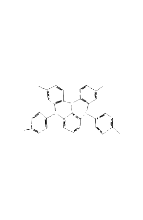 Cc1ccc(N2c3cc(C)ccc3B3c4ccc(C)cc4N(c4ccc(C)cc4)c4cccc2c43)cc1